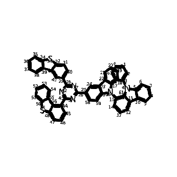 c1ccc(-n2c3ccccc3c3cccc(-n4c5ccccc5c5cc(-c6nc(-c7ccc8sc9ccccc9c8c7)nc(-c7cccc8sc9ccccc9c78)n6)ccc54)c32)cc1